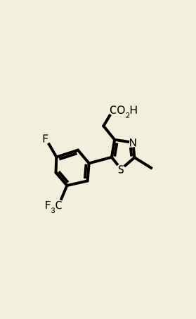 Cc1nc(CC(=O)O)c(-c2cc(F)cc(C(F)(F)F)c2)s1